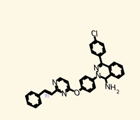 NC1c2ccccc2C(c2ccc(Cl)cc2)=NN1c1ccc(Oc2ccnc(/C=C/c3ccccc3)n2)cc1